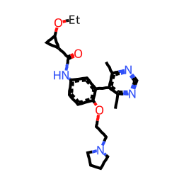 CCOC1CC1C(=O)Nc1ccc(OCCN2CCCC2)c(-c2c(C)ncnc2C)c1